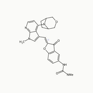 CNC(=O)Nc1ccc2c(c1)C(=O)/C(=C/c1cn(C)c3nccc(N4C5CCC4COC5)c13)O2